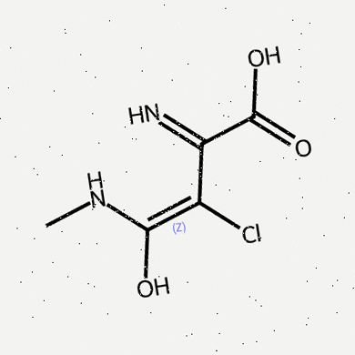 CN/C(O)=C(/Cl)C(=N)C(=O)O